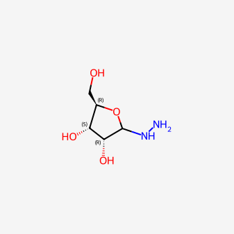 NNC1O[C@H](CO)[C@@H](O)[C@H]1O